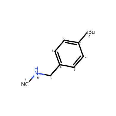 CCC(C)c1ccc(CNC#N)cc1